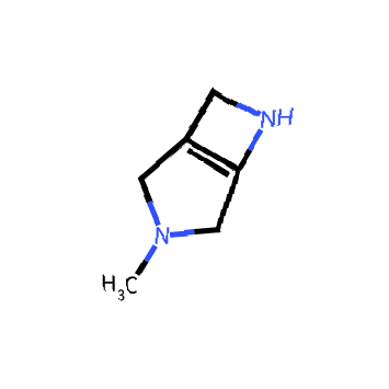 CN1CC2=C(C1)NC2